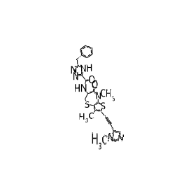 Cc1c(C#Cc2cncn2C)sc2c1SCC(NC(=O)c1nnc(Cc3ccccc3)[nH]1)C(=O)N2C